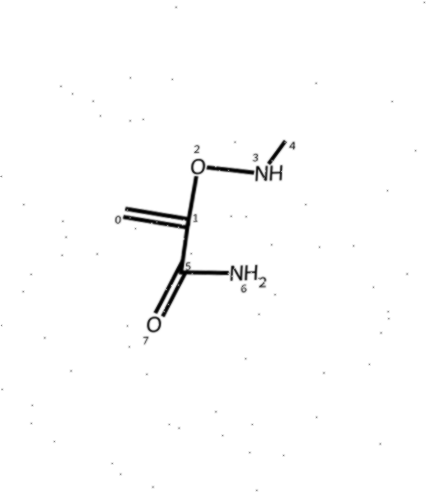 C=C(ONC)C(N)=O